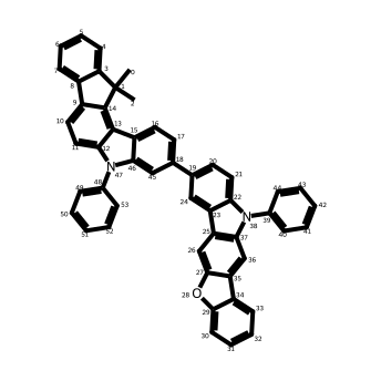 CC1(C)c2ccccc2-c2ccc3c(c21)c1ccc(-c2ccc4c(c2)c2cc5oc6ccccc6c5cc2n4-c2ccccc2)cc1n3-c1ccccc1